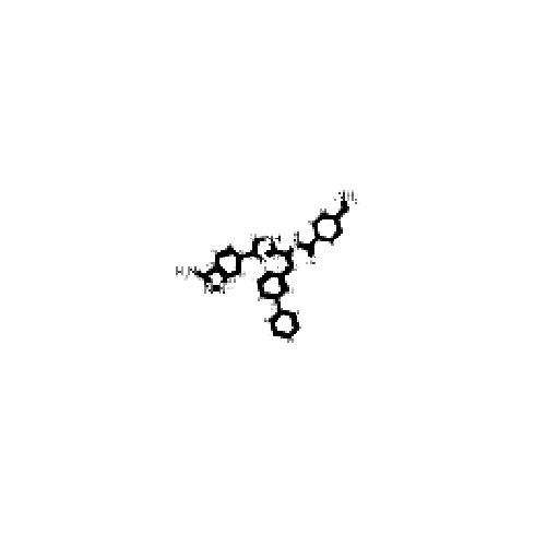 NCC1CCC(C(=O)NC(Cc2cccc(-c3ccccc3)c2)c2nc(-c3ccc4c(N)n[nH]c4c3)c[nH]2)CC1